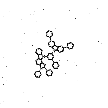 c1ccc(-c2cc(-n3c4ccc(-c5ccccc5)cc4c4cc(-c5ccccc5)ccc43)cc(-n3c4ccccc4c4ccc5c(cc(-c6ccccc6)n5-c5ccccc5)c43)c2)cc1